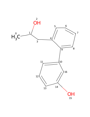 CC(O)Cc1ccccc1-c1cccc(O)c1